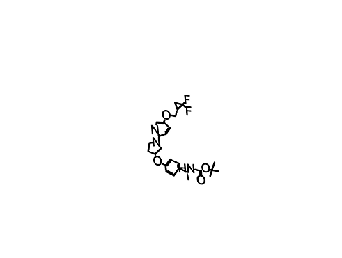 C[C@H](NC(=O)OC(C)(C)C)c1ccc(O[C@@H]2CCN(c3ccc(OC[C@H]4CC4(F)F)cn3)C2)cc1